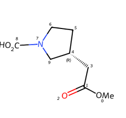 COC(=O)C[C@H]1CCN(C(=O)O)C1